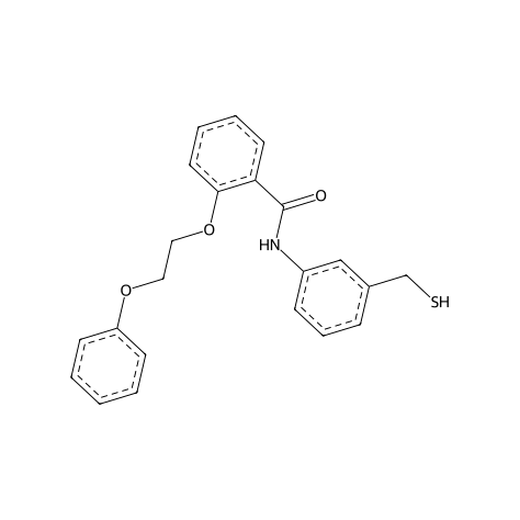 O=C(Nc1cccc(CS)c1)c1ccccc1OCCOc1ccccc1